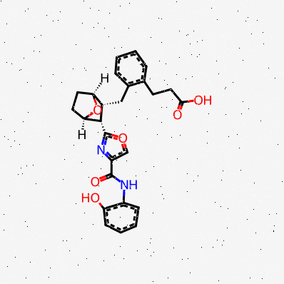 O=C(O)CCc1ccccc1C[C@@H]1[C@H](c2nc(C(=O)Nc3ccccc3O)co2)[C@H]2CC[C@@H]1O2